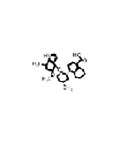 COc1cc(C)c2[nH]ccc2c1CN1CC[C@@H](C)C[C@H]1c1ccc(C(=O)O)c2c1CCCC2